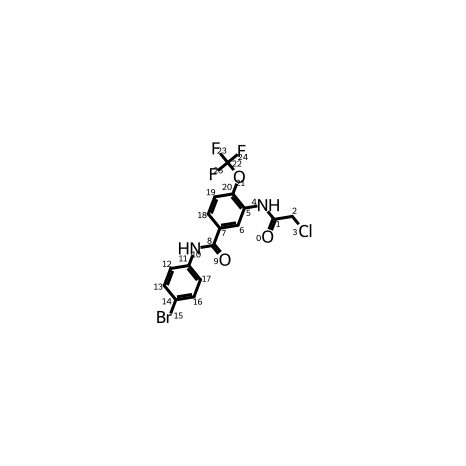 O=C(CCl)Nc1cc(C(=O)Nc2ccc(Br)cc2)ccc1OC(F)(F)F